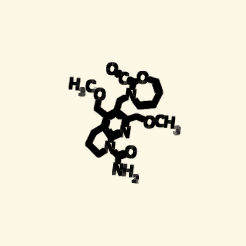 COCc1nc2c(c(COC)c1CN1C=CC=COC1=C=O)CCCN2C(N)=O